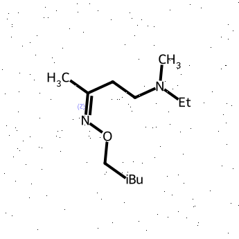 CCC(C)CO/N=C(/C)CCN(C)CC